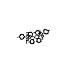 Cc1ccc(S(=O)(=O)Oc2c(F)cccc2C2(c3cccc(F)c3OS(=O)(=O)c3ccc(C)cc3)c3ccccc3-c3ccccc32)cc1